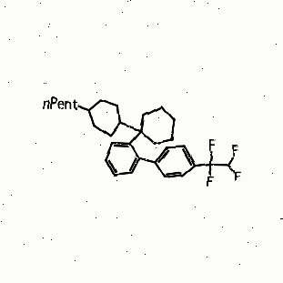 CCCCCC1CCC(C2(c3ccccc3-c3ccc(C(F)(F)C(F)F)cc3)CCCCC2)CC1